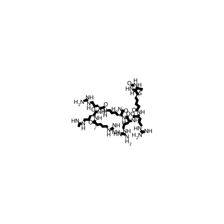 CC(=N)NCCC[C@H](NC(=O)[C@@H](C)CCCNC(=N)N)C(=O)N[C@@H](CCCNC(=N)N)C(=O)NCCCC[C@H](NC(=O)[C@H](CCCNC(=N)N)NC(=O)[C@H](CCCNC(=N)N)NC(=O)CCCC[C@@H]1SC[C@@H]2NC(=O)N[C@@H]21)C(N)=O